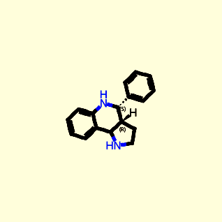 c1ccc([C@H]2Nc3ccccc3C3NCC[C@H]32)cc1